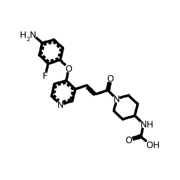 Nc1ccc(Oc2ccncc2/C=C/C(=O)N2CCC(NC(=O)O)CC2)c(F)c1